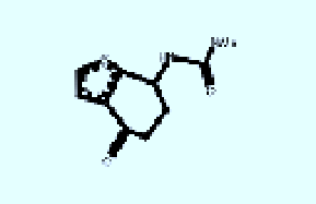 CNC(=O)NC1CCC(=O)c2ccsc21